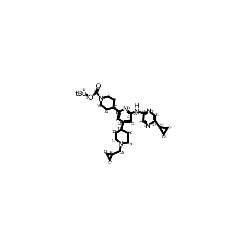 CC(C)(C)OC(=O)N1CCC(c2cc(C3CCN(CC4CC4)CC3)cc(Nc3cnc(C4CC4)cn3)n2)CC1